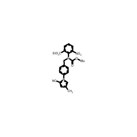 CCOC(=O)c1cccc([N+](=O)[O-])c1N(Cc1ccc(-n2cc(C)cc2C#N)cc1)C(=O)OC(C)(C)C